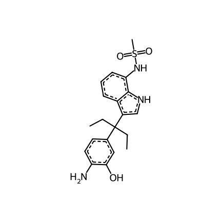 CCC(CC)(c1ccc(N)c(O)c1)c1c[nH]c2c(NS(C)(=O)=O)cccc12